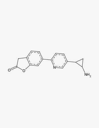 NC1CC1c1ccc(-c2ccc3c(c2)OC(=O)C3)nc1